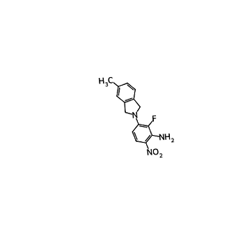 Cc1ccc2c(c1)CN(c1ccc([N+](=O)[O-])c(N)c1F)C2